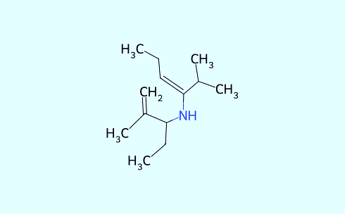 C=C(C)C(CC)N/C(=C/CC)C(C)C